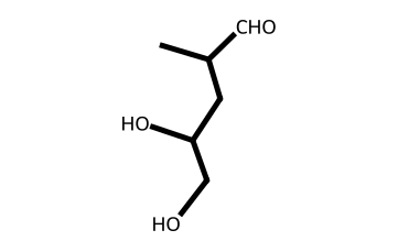 CC(C=O)CC(O)CO